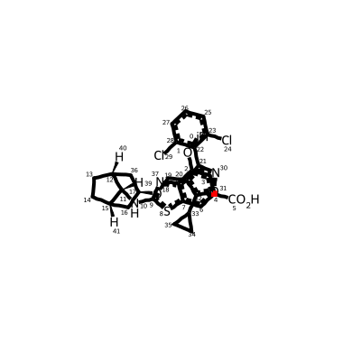 CC(C)Oc1cc(C(=O)O)cc2sc(N[C@H]3[C@@H]4CC[C@H]3C[C@H](OCc3c(-c5c(Cl)cccc5Cl)noc3C3CC3)C4)nc12